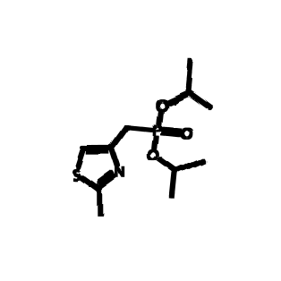 Cc1nc(CP(=O)(OC(C)C)OC(C)C)cs1